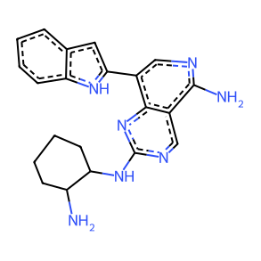 Nc1ncc(-c2cc3ccccc3[nH]2)c2nc(NC3CCCCC3N)ncc12